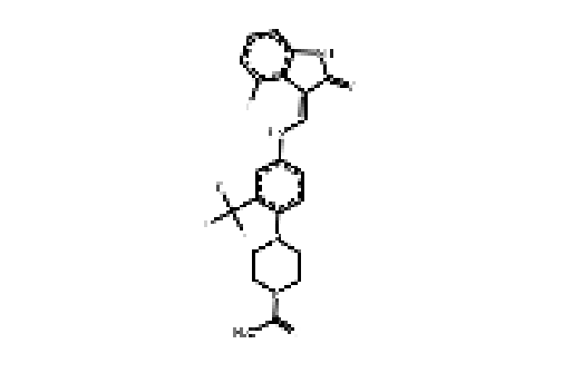 CC(=O)N1CCN(c2ccc(N/C=C3/C(=O)Nc4cccc(F)c43)cc2C(F)(F)F)CC1